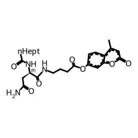 CCCCCCCC(=O)N[C@H](CC(N)=O)C(=O)NCCCC(=O)Oc1ccc2c(C)cc(=O)oc2c1